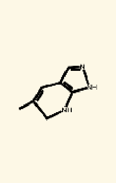 CC1=Cc2cn[nH]c2NC1